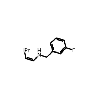 CC(C)/C=C\NCc1cccc(F)c1